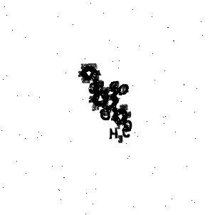 COc1ccc(C(CCC(C)=O)C(=O)c2ccc(OCc3ccccc3)cc2)cc1